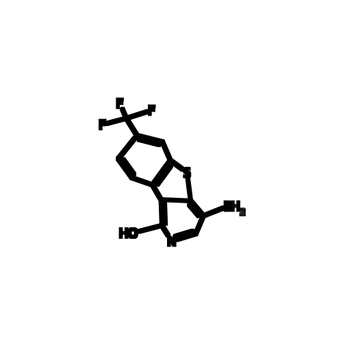 Bc1cnc(O)c2c1sc1cc(C(F)(F)F)ccc12